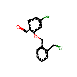 O=Cc1ccc(Br)cc1OCc1ccccc1CCl